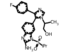 CC(CO)n1cnc(-c2ccc(F)cc2)c1-c1ccc2nc(N)n(S(=O)(=O)C(C)C)c2c1